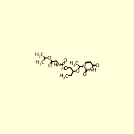 CCC(CO[PH](=O)NCC(=O)OC(C)C)OC(C)n1ccc(=O)[nH]c1=O